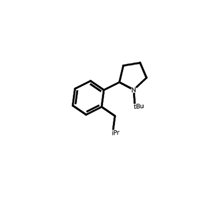 CC(C)Cc1ccccc1C1CCCN1C(C)(C)C